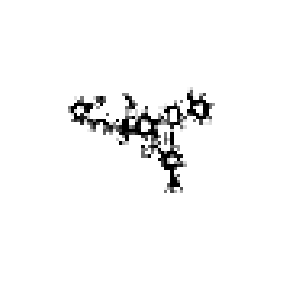 CCOc1cc(N2CCN(c3ccccc3C)CC2)c(NC(=O)c2csc(C3CC3)n2)cc1C(=O)NCCCN1CCCC1=O